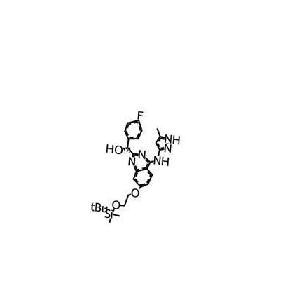 Cc1cc(Nc2nc([C@@H](O)c3ccc(F)cc3)nc3cc(OCCO[Si](C)(C)C(C)(C)C)ccc23)n[nH]1